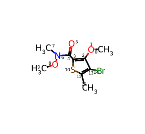 COc1c(C(=O)N(C)OC)sc(C)c1Br